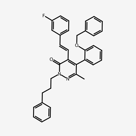 Cc1nn(CCCc2ccccc2)c(=O)c(C=Cc2cccc(F)c2)c1-c1ccccc1OCc1ccccc1